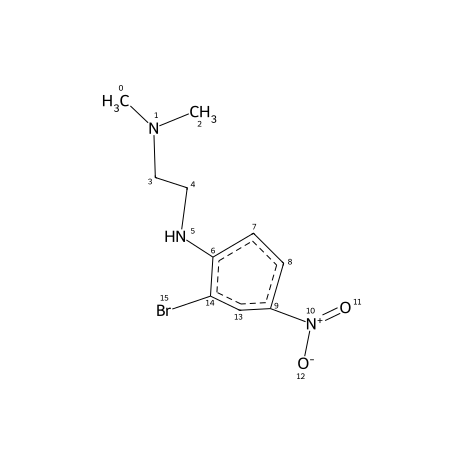 CN(C)CCNc1ccc([N+](=O)[O-])cc1Br